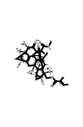 C/C=C(\C)C(=O)OC[C@]1(O)[C@H]2C[C@H]2[C@]2(C)[C@@H]3CC4=C5[C@H](/C(=C(\C)C(=O)OC)C(=O)[C@H](O)[C@@]5(C)[C@@H]5C[C@H]45)[C@@]34OC(=O)C(C)=C4C[C@@H]12